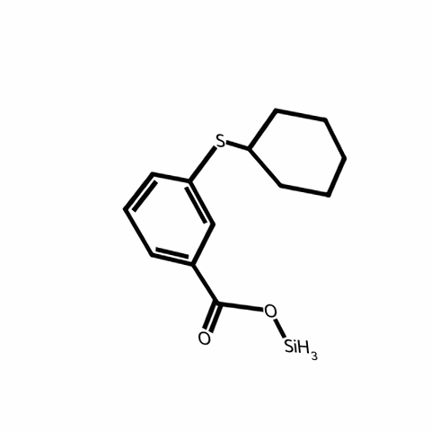 O=C(O[SiH3])c1cccc(SC2CCCCC2)c1